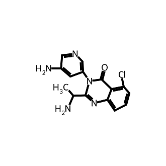 CC(N)c1nc2cccc(Cl)c2c(=O)n1-c1cncc(N)c1